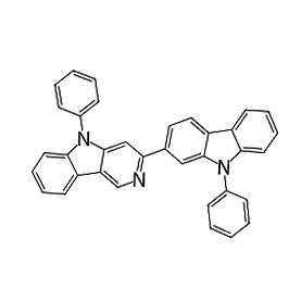 c1ccc(-n2c3ccccc3c3ccc(-c4cc5c(cn4)c4ccccc4n5-c4ccccc4)cc32)cc1